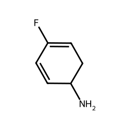 NC1C=CC(F)=CC1